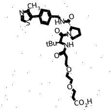 Cc1ncsc1-c1ccc(CNC(=O)[C@@H]2CCCN2C(=O)[C@@H](NC(=O)CCOCCOCCC(=O)O)C(C)(C)C)cc1